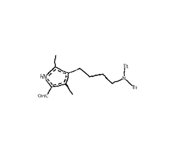 CCN(CC)CCCCc1c(C)[nH]c(C=O)c1C